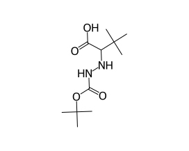 CC(C)(C)OC(=O)NNC(C(=O)O)C(C)(C)C